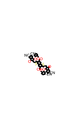 N#Cc1cc2c(cc1C#N)C(=O)C(=Cc1cc3c(C(=O)OCc4ccccc4)cc4c(cc(C(=O)OCc5ccccc5)c5cc(C=C6C(=O)c7cc(C#N)c(C#N)cc7C6=O)sc54)c3s1)C2=O